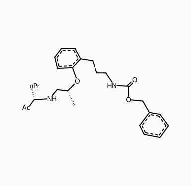 CCC[C@H](NC[C@@H](C)Oc1ccccc1CCCNC(=O)OCc1ccccc1)C(C)=O